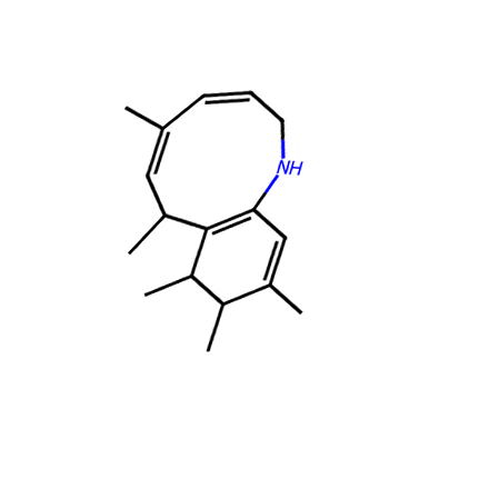 CC1=CC2=C(C(C)/C=C(C)\C=C/CN2)C(C)C1C